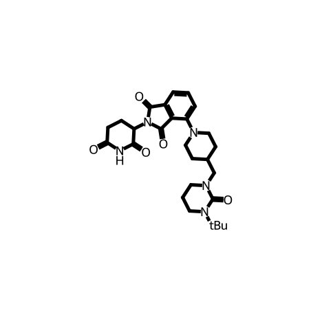 CC(C)(C)N1CCCN(CC2CCN(c3cccc4c3C(=O)N(C3CCC(=O)NC3=O)C4=O)CC2)C1=O